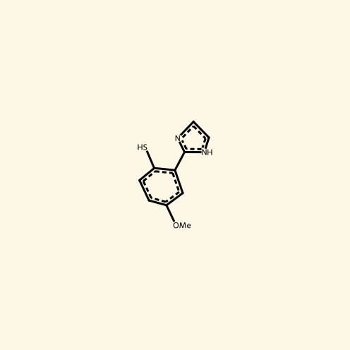 COc1ccc(S)c(-c2ncc[nH]2)c1